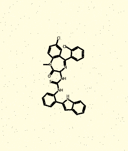 CN1C(=O)C(NC(=S)Nc2ccccc2-c2cc3ccccc3[nH]2)N=C(c2ccccc2Cl)c2cc(Cl)ccc21